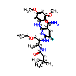 CCOCC(Nc1nc(Nc2cc(OC)cc(OC)c2)c(C(N)=O)cc1F)[C@H](C)NC(=O)CC(C)(C)C